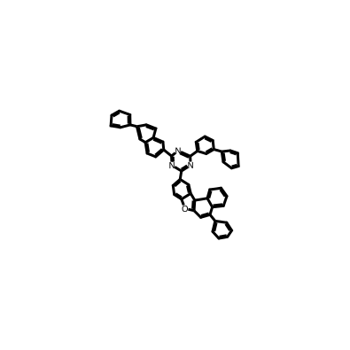 c1ccc(-c2cccc(-c3nc(-c4ccc5cc(-c6ccccc6)ccc5c4)nc(-c4ccc5oc6cc(-c7ccccc7)c7ccccc7c6c5c4)n3)c2)cc1